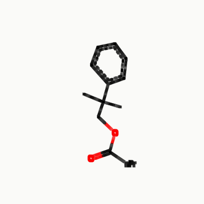 CCCC(=O)OCC(C)(C)c1ccccc1